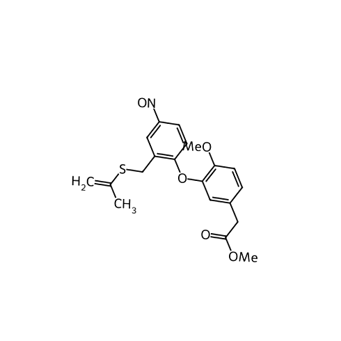 C=C(C)SCc1cc(N=O)ccc1Oc1cc(CC(=O)OC)ccc1OC